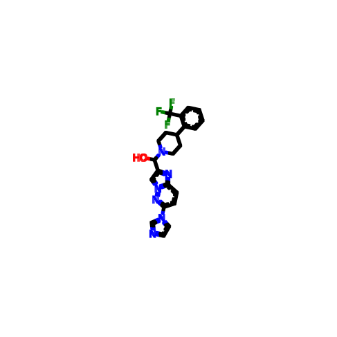 OC(c1cn2nc(-n3ccnc3)ccc2n1)N1CCC(c2ccccc2C(F)(F)F)CC1